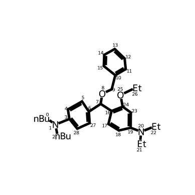 CCCCN(CCCC)c1ccc(C(OCc2ccccc2)c2ccc(N(CC)CC)cc2OCC)cc1